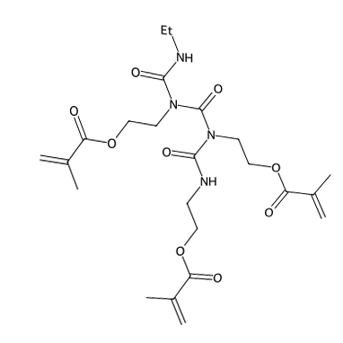 C=C(C)C(=O)OCCNC(=O)N(CCOC(=O)C(=C)C)C(=O)N(CCOC(=O)C(=C)C)C(=O)NCC